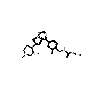 Cc1cc(-c2ncnn3cc(N4CCN(C)C[C@H]4C)cc23)ccc1CNC(=O)OC(C)(C)C